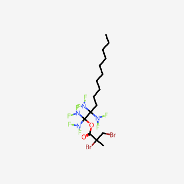 CCCCCCCCCCC(N(F)F)(N(F)F)C(OC(=O)C(C)(Br)CBr)(N(F)F)N(F)F